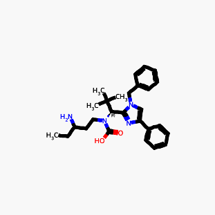 CCC(N)CCN(C(=O)O)[C@@H](c1nc(-c2ccccc2)cn1Cc1ccccc1)C(C)(C)C